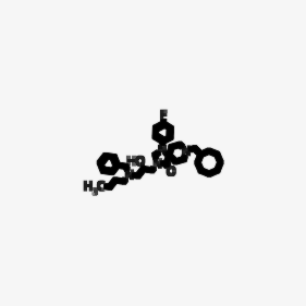 CCCCN(Cc1ccccc1)C[C@@H](O)CN1CN(c2ccc(F)cc2)C2(CCN(CC3CCCCCCC3)CC2)C1=O